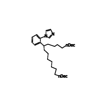 CCCCCCCCCCCCCCCCCC(CCCCCCCCCCCCCC)c1ccccc1-n1ccnc1